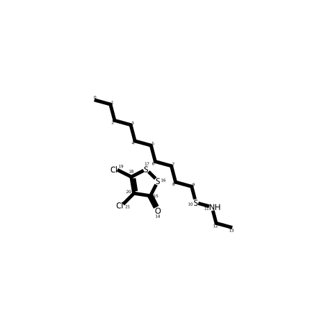 CCCCCCCCCCSNCC.O=c1ssc(Cl)c1Cl